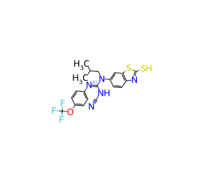 CC(C)CN(/C(=N/c1ccc(OC(F)(F)F)cc1)NC#N)c1ccc2nc(S)sc2c1